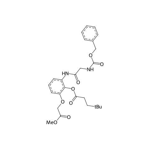 COC(=O)COc1cccc(NC(=O)CNC(=O)OCc2ccccc2)c1OC(=O)CCC(C)(C)C